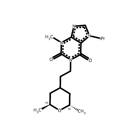 CC(C)n1cnc2c1c(=O)n(CCC1C[C@H](C)O[C@@H](C)C1)c(=O)n2C